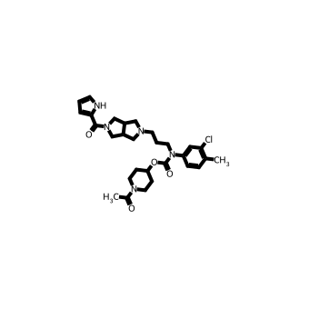 CC(=O)N1CCC(OC(=O)N(CCCN2CC3CN(C(=O)c4ccc[nH]4)CC3C2)c2ccc(C)c(Cl)c2)CC1